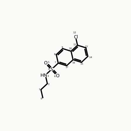 CCCNS(=O)(=O)c1ccc2c(Cl)cccc2c1